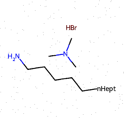 Br.CCCCCCCCCCCCN.CN(C)C